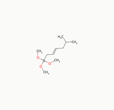 CO[Si](CC=CCC(C)C)(OC)OC